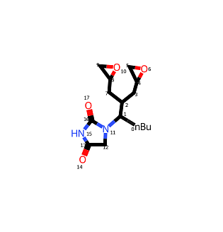 CCCCC(C(CC1CO1)CC1CO1)N1CC(=O)NC1=O